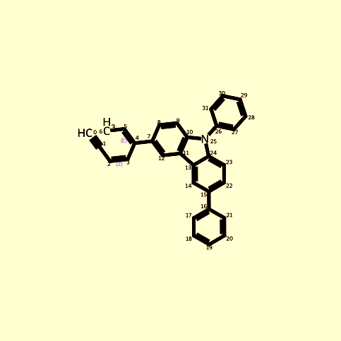 C#C/C=C\C(=C/C)c1ccc2c(c1)c1cc(-c3ccccc3)ccc1n2-c1ccccc1